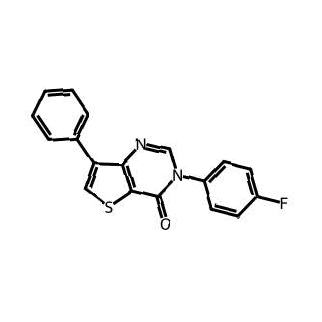 O=c1c2scc(-c3ccccc3)c2ncn1-c1ccc(F)cc1